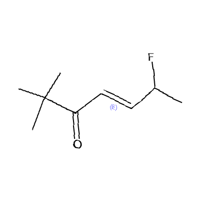 CC(F)/C=C/C(=O)C(C)(C)C